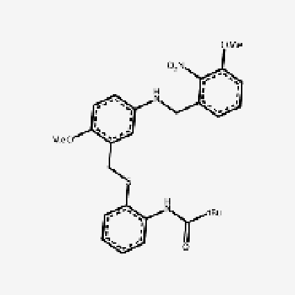 COc1ccc(NCc2cccc(OC)c2[N+](=O)[O-])cc1CSc1ccccc1NC(=O)C(C)(C)C